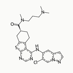 CN(C)CCCN(C)C(=O)[C@H]1CCc2c(sc3ncnc(Nc4cc5ccnn5cc4Cl)c23)C1